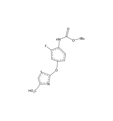 CC(C)(C)OC(=O)Nc1ccc(Oc2nc(C(=O)O)cs2)cc1F